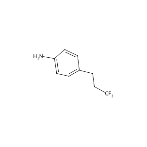 Nc1ccc(CCC(F)(F)F)cc1